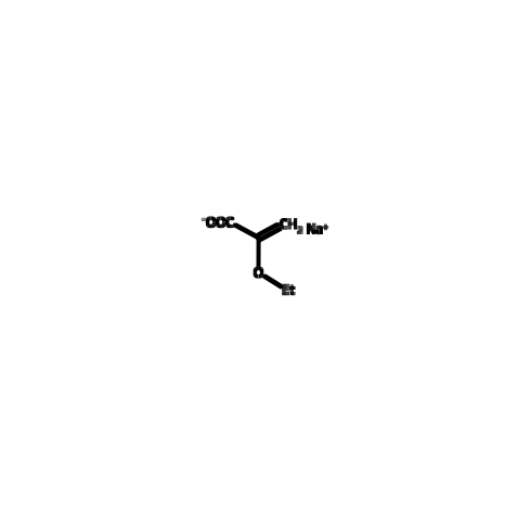 C=C(OCC)C(=O)[O-].[Na+]